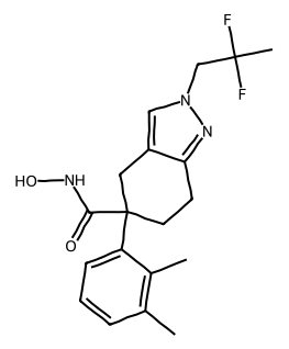 Cc1cccc(C2(C(=O)NO)CCc3nn(CC(C)(F)F)cc3C2)c1C